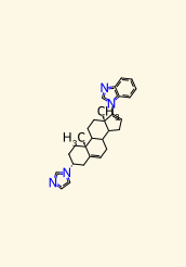 C[C@]12CC[C@@H](n3ccnc3)CC1=CCC1C2CC[C@]2(C)C(n3cnc4ccccc43)=CCC12